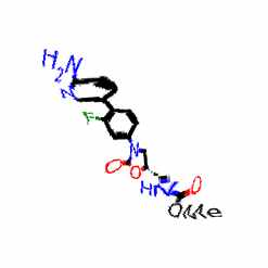 COC(=O)NC[C@H]1CN(c2ccc(-c3ccc(N)nc3)c(F)c2)C(=O)O1